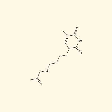 C=C(C)COCCCCn1cc(C)c(=O)[nH]c1=O